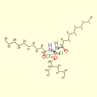 CCCCCCCCCC(=O)[NH][Ti]([Cl])([Cl])([NH]C(=O)CCCCCCCCC)[O]CC(CC)CCCC